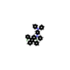 Fc1ccccc1-c1c2ccccc2c(-c2ccccc2F)c2cc(N(c3ccccc3)c3ccc(N(c4ccccc4)c4ccccc4)cc3)ccc12